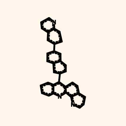 c1cnc2ccc(-c3ccc4cc(-c5c6ccccc6nc6c5ccc5cccnc56)ccc4c3)cc2c1